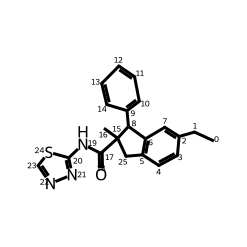 CCc1ccc2c(c1)C(c1ccccc1)C(C)(C(=O)Nc1nncs1)C2